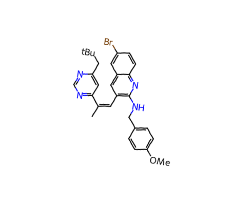 COc1ccc(CNc2nc3ccc(Br)cc3cc2C=C(C)c2cc(CC(C)(C)C)ncn2)cc1